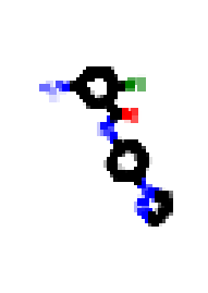 Nc1ccc(Cl)c(C(=O)Nc2ccc(-n3cccn3)cc2)c1